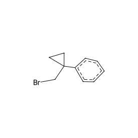 BrCC1(c2ccccc2)CC1